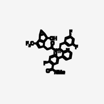 CNC(=O)c1cc(-c2cccnc2[C@H](Cc2cc(F)cc(F)c2)NC(=O)CC2C=C(C(F)(F)F)C3=C2C(O)C2CC32)ccc1F